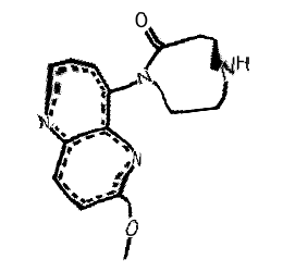 COc1ccc2nccc(N3CCNCC3=O)c2n1